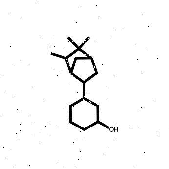 CC1C2CC(CC2C2CCCC(O)C2)C1(C)C